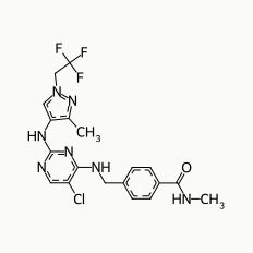 CNC(=O)c1ccc(CNc2nc(Nc3cn(CC(F)(F)F)nc3C)ncc2Cl)cc1